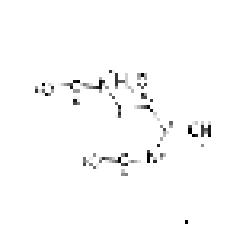 N#CC(CCN=C=O)N=C=O.O